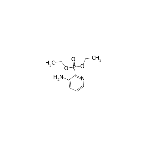 CCOP(=O)(OCC)c1ncccc1N